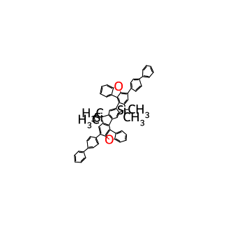 C[Si]1(C)c2cc3c(cc2-c2c1cc(-c1ccc(-c4ccccc4)cc1)c1oc4ccccc4c21)[Si](C)(C)c1cc(-c2ccc(-c4ccccc4)cc2)c2oc4ccccc4c2c1-3